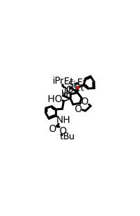 CC[Si](CC)(CC)O[C@H]1C2(Cc3ccccc3)CN(CC(C)C)C[C@@]1(C(O)Cc1ccccc1NC(=O)OC(C)(C)C)CC1(C2)OCCO1